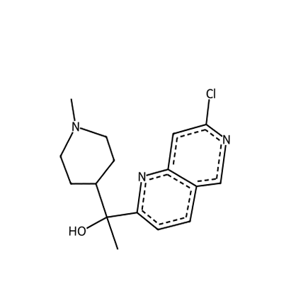 CN1CCC(C(C)(O)c2ccc3cnc(Cl)cc3n2)CC1